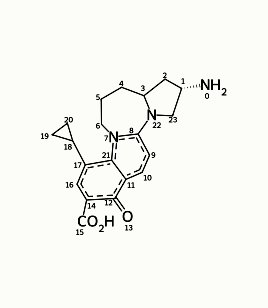 N[C@H]1CC2CCCn3c(ccc4c(=O)c(C(=O)O)cc(C5CC5)c3-4)N2C1